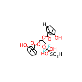 O=C(OCC(COC(F)(F)C(O)(O)S(=O)(=O)O)OC(=O)C12CC3C[C@@H](CC(O)(C3)C1)C2)C12CC3CC(CC(O)(C3)C1)C2